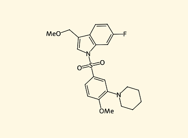 COCc1cn(S(=O)(=O)c2ccc(OC)c(N3CCCCC3)c2)c2cc(F)ccc12